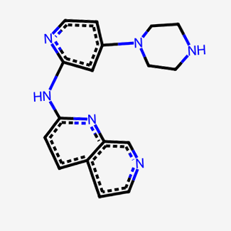 c1cc2ccc(Nc3cc(N4CCNCC4)ccn3)nc2cn1